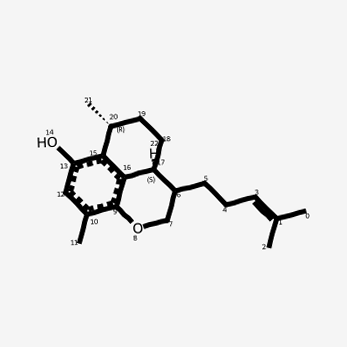 CC(C)=CCCC1COc2c(C)cc(O)c3c2[C@H]1CC[C@H]3C